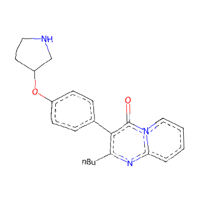 CCCCc1nc2ccccn2c(=O)c1-c1ccc(OC2CCNC2)cc1